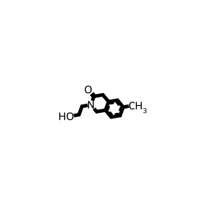 Cc1ccc2c(c1)CC(=O)N(CCO)C2